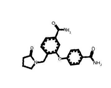 NC(=O)c1ccc(Oc2cc(C(N)=O)ccc2CN2CCCC2=O)cc1